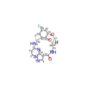 C[C@H]1Nc2ccn3ncc(c3n2)C(=O)NC[C@@H]2COc3cc(F)cc1c3O2